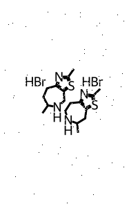 Br.Br.Cc1nc2c(s1)CC(C)NCC2.Cc1nc2c(s1)CNC(C)CC2